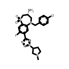 CN1CCC(n2nnc(-c3cc4c(cc3F)S(=O)(=O)C[C@H](N)CN4Cc3ccc(Cl)cc3)n2)C1